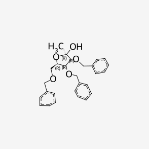 C[C@@]1(O)O[C@H](COCc2ccccc2)[C@@H](OCc2ccccc2)[C@H]1OCc1ccccc1